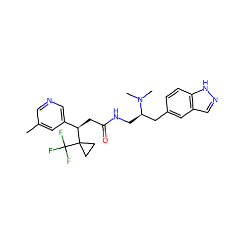 Cc1cncc([C@@H](CC(=O)NC[C@H](Cc2ccc3[nH]ncc3c2)N(C)C)C2(C(F)(F)F)CC2)c1